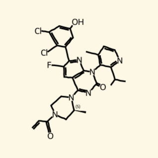 C=CC(=O)N1CCN(c2nc(=O)n(-c3c(C)ccnc3C(C)C)c3nc(-c4cc(O)cc(Cl)c4Cl)c(F)cc23)[C@@H](C)C1